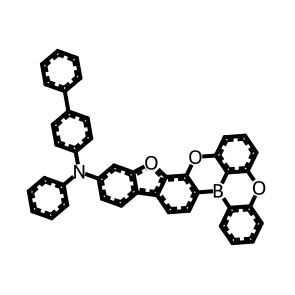 c1ccc(-c2ccc(N(c3ccccc3)c3ccc4c(c3)oc3c5c(ccc34)B3c4ccccc4Oc4cccc(c43)O5)cc2)cc1